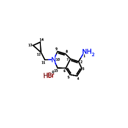 Br.Nc1cccc2c1C=CN(CC1CC1)C2